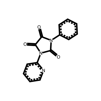 O=C1C(=O)N(c2ccccn2)C(=O)N1c1ccccc1